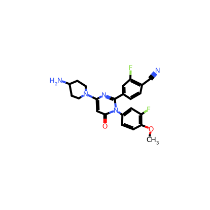 COc1ccc(-n2c(-c3ccc(C#N)c(F)c3)nc(N3CCC(N)CC3)cc2=O)cc1F